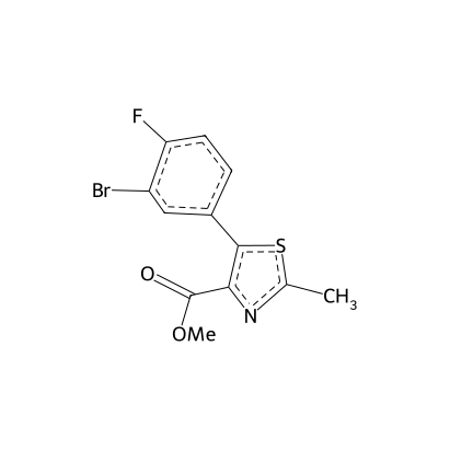 COC(=O)c1nc(C)sc1-c1ccc(F)c(Br)c1